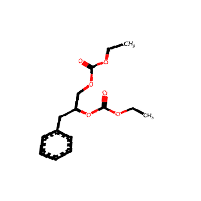 CCOC(=O)OCC(Cc1ccccc1)OC(=O)OCC